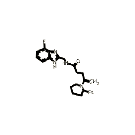 C=C(CCC(=O)NCc1nc2c(F)cccc2[nH]1)N1CCCCC1CC